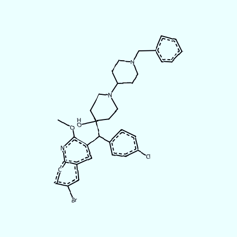 COc1nc2ccc(Br)cc2cc1C(c1ccc(Cl)cc1)C1(O)CCN(C2CCN(Cc3ccccc3)CC2)CC1